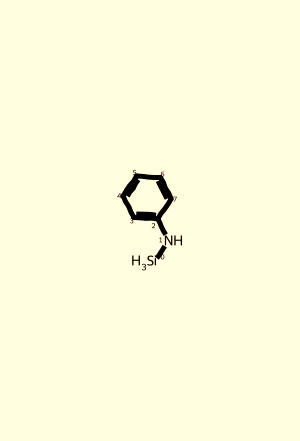 [SiH3]Nc1ccccc1